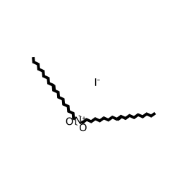 CCCCCCCCC=CCCCCCCCC(=O)[N+](C)(C)C(=O)CCCCCCCC=CCCCCCCCC.[I-]